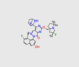 [2H]C1([2H])CC[C@@]2(COc3nc(N4CC5CCC4CN5)c4cnn(-c5cc(O)cc6ccc(F)c(C#C)c56)c(=O)c4n3)C[C@@]([2H])(F)CN12